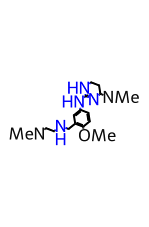 CNCCNCc1cc(NC2=NC(NC)CCN2)ccc1OC